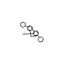 CCCCCCC1(CCCCCC)c2cc(B3OCCCO3)ccc2-c2ccc(B3OCCCO3)cc21